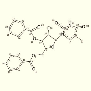 Cc1cn(C2OC(COC(=O)c3ccccc3)C(OC(=O)c3ccccc3)C2F)c(=O)[nH]c1=O